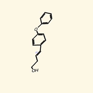 OCC/C=C/c1ccc(Oc2ccccc2)cc1